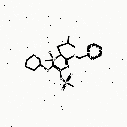 CC(C)CC1C(OCc2ccccc2)=NC(OS(C)(=O)=O)=C(OC2CCCCC2)[N+]1(C)[O-]